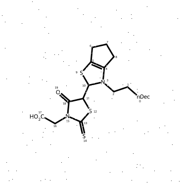 CCCCCCCCCCCCN1C2=C(CCC2)SC1C1SC(=S)N(CC(=O)O)C1=O